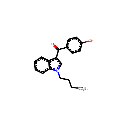 CCOC(=O)CCCn1cc(C(=O)c2ccc(O)cc2)c2ccccc21